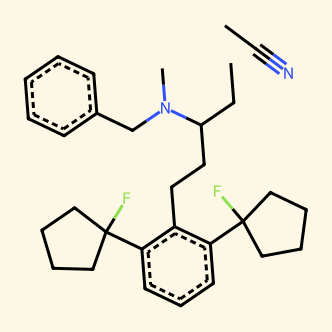 CC#N.CCC(CCc1c(C2(F)CCCC2)cccc1C1(F)CCCC1)N(C)Cc1ccccc1